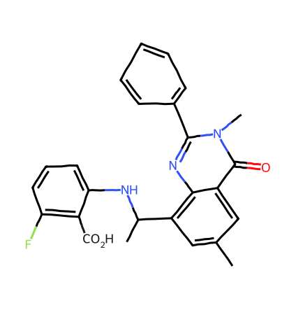 Cc1cc(C(C)Nc2cccc(F)c2C(=O)O)c2nc(-c3ccccc3)n(C)c(=O)c2c1